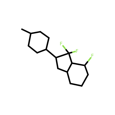 CC1CCC(C2CC3CCCC(F)C3C2(F)F)CC1